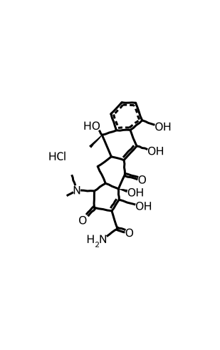 CN(C)C1C(=O)C(C(N)=O)=C(O)[C@@]2(O)C(=O)C3=C(O)c4c(O)cccc4[C@@](C)(O)C3CC12.Cl